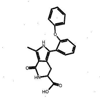 Cc1[nH]c(-c2ccccc2Oc2ccccc2)c2c1C(=O)NC(C(=O)O)C2